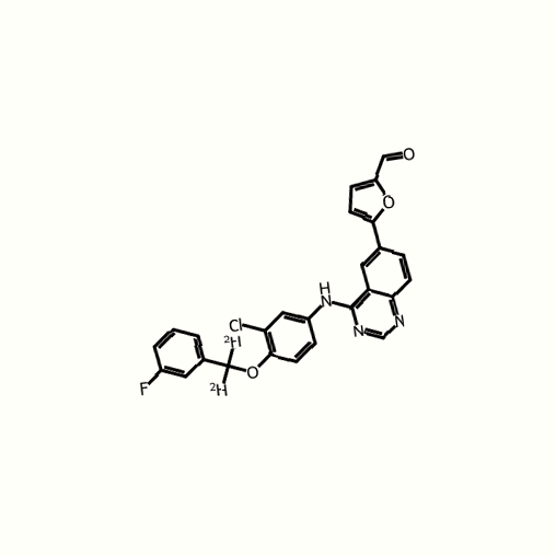 [2H]C([2H])(Oc1ccc(Nc2ncnc3ccc(-c4ccc(C=O)o4)cc23)cc1Cl)c1cccc(F)c1